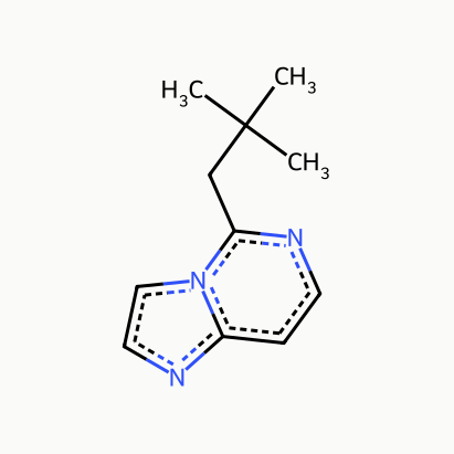 CC(C)(C)Cc1nccc2nccn12